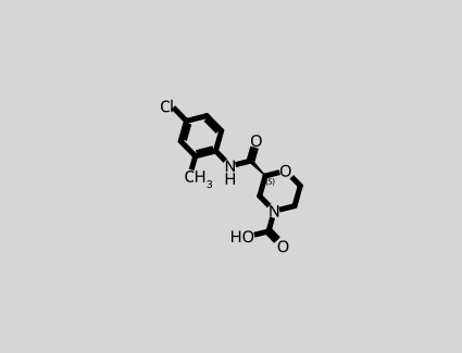 Cc1cc(Cl)ccc1NC(=O)[C@@H]1CN(C(=O)O)CCO1